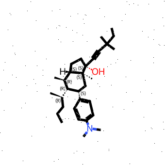 CCC[C@@H](C)[C@@H]1[C@@H](C)[C@@H]2CC[C@@](O)(C#CC(C)(C)CC)[C@@]2(C)C[C@@H]1c1ccc(N(C)C)cc1